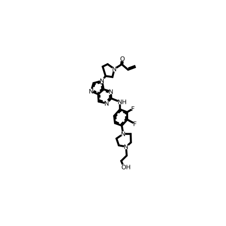 C=CC(=O)N1CCC(n2cnc3cnc(Nc4ccc(N5CCN(CCO)CC5)c(F)c4F)nc32)C1